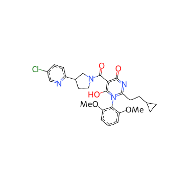 COc1cccc(OC)c1-n1c(CCC2CC2)nc(=O)c(C(=O)N2CCC(c3ccc(Cl)cn3)C2)c1O